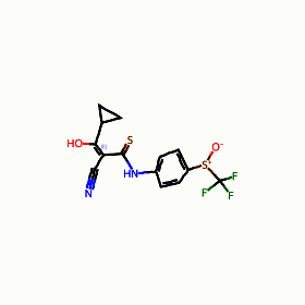 N#C/C(C(=S)Nc1ccc([S+]([O-])C(F)(F)F)cc1)=C(\O)C1CC1